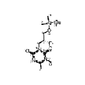 Cc1nc(=O)n(C[C@@H](F)CO[Si](C)(C)C(C)(C)C)c(=O)n1C